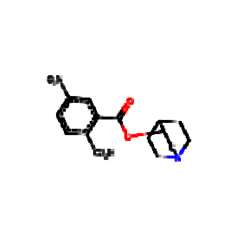 O=C(O)c1ccc([N+](=O)[O-])cc1C(=O)OC1CN2CCC1CC2